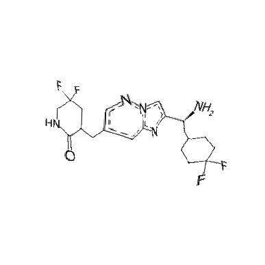 N[C@H](c1cn2ncc(CC3CC(F)(F)CNC3=O)cc2n1)C1CCC(F)(F)CC1